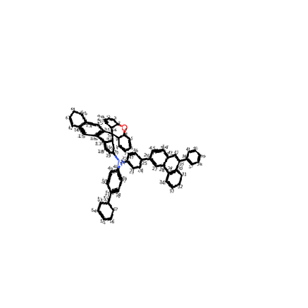 C1=CC2OC3C=CC=CC3C3(c4cc5c(cc4C4C=CC(N(C6=CCC(C7=CC8C9=C(CCC=C9)C(c9ccccc9)CC8C=C7)C=C6)c6ccc(C7CC=CCC7)cc6)CC43)C=CCC5)C2C=C1